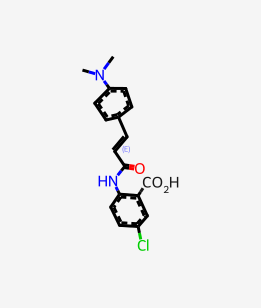 CN(C)c1ccc(/C=C/C(=O)Nc2ccc(Cl)cc2C(=O)O)cc1